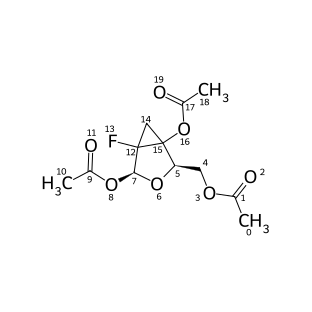 CC(=O)OC[C@H]1O[C@@H](OC(C)=O)C2(F)CC12OC(C)=O